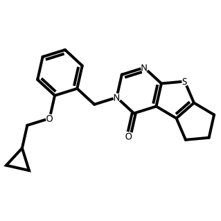 O=c1c2c3c(sc2ncn1Cc1ccccc1OCC1CC1)CCC3